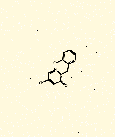 O=c1cc(Cl)cnn1Cc1ccccc1Cl